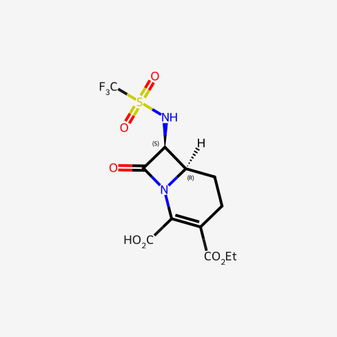 CCOC(=O)C1=C(C(=O)O)N2C(=O)[C@@H](NS(=O)(=O)C(F)(F)F)[C@H]2CC1